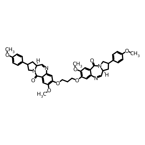 COc1ccc(C2C[C@H]3C=Nc4cc(OCCCOc5cc6c(cc5OC)C(=O)N5CC(c7ccc(OC)cc7)C[C@H]5C=N6)c(OC)cc4C(=O)N3C2)cc1